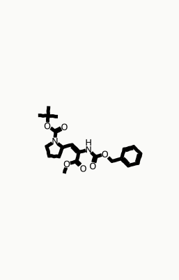 COC(=O)C(=CC1CCCN1C(=O)OC(C)(C)C)NC(=O)OCc1ccccc1